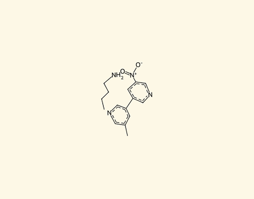 CCCCN.Cc1cncc(-c2cncc([N+](=O)[O-])c2)c1